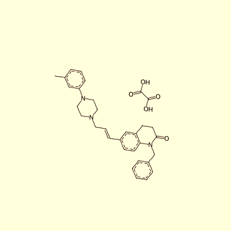 Cc1cccc(N2CCN(CC=Cc3ccc4c(c3)CCC(=O)N4Cc3ccccc3)CC2)c1.O=C(O)C(=O)O